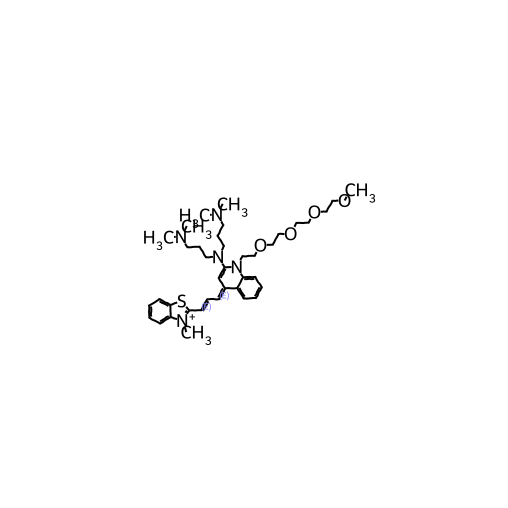 COCCOCCOCCOCCN1C(N(CCCN(C)C)CCCN(C)C)=C/C(=C\C=C\c2sc3ccccc3[n+]2C)c2ccccc21